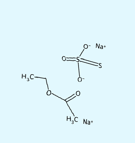 CCOC(C)=O.O=S([O-])([O-])=S.[Na+].[Na+]